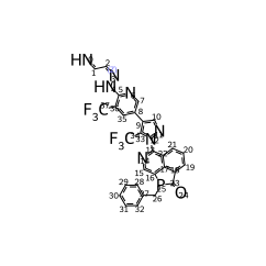 N=C/C=N\Nc1ncc(-c2cnn(-c3ncc4c5c(cccc35)C(=O)P4Cc3ccccc3)c2C(F)(F)F)cc1C(F)(F)F